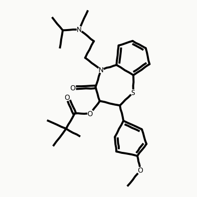 COc1ccc(C2Sc3ccccc3N(CCN(C)C(C)C)C(=O)C2OC(=O)C(C)(C)C)cc1